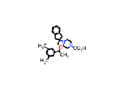 Cc1cc(C)cc(C(C)OCC2(N3CCN(C(=O)O)CC3)Cc3ccccc3C2)c1